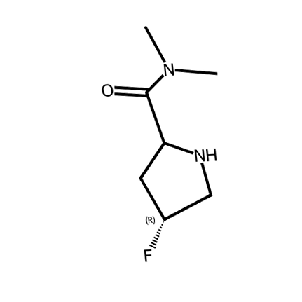 CN(C)C(=O)C1C[C@@H](F)CN1